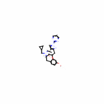 COc1ccc2c(c1)[C@]13CCN(CC4CC4)[C@H](C2)[C@]1(O)Cc1c(nn(-c2ncccn2)c1C)C3